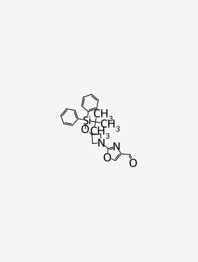 CC(C)(C)[Si](OC1CN(c2nc(C=O)co2)C1)(c1ccccc1)c1ccccc1